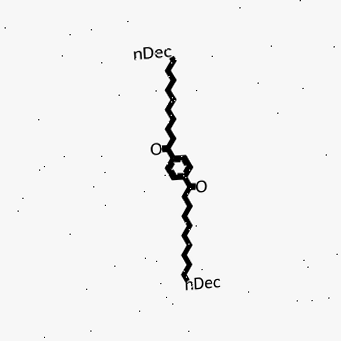 CCCCCCCCCCCCCCCCCCCC(=O)c1ccc(C(=O)CCCCCCCCCCCCCCCCCCC)cc1